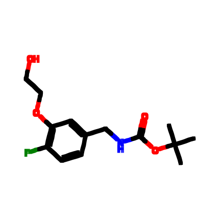 CC(C)(C)OC(=O)NCc1ccc(F)c(OCCO)c1